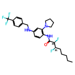 CCCCC[C@@H](F)[C@H](F)C(=O)Nc1ccc(NCc2ccc(C(F)(F)F)cc2)cc1N1CCCC1